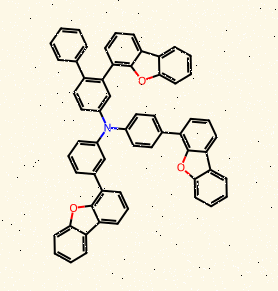 c1ccc(-c2ccc(N(c3ccc(-c4cccc5c4oc4ccccc45)cc3)c3cccc(-c4cccc5c4oc4ccccc45)c3)cc2-c2cccc3c2oc2ccccc23)cc1